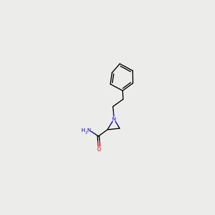 NC(=O)C1CN1CCc1ccccc1